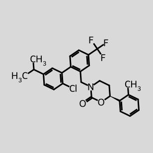 Cc1ccccc1[C@@H]1CCN(Cc2cc(C(F)(F)F)ccc2-c2cc(C(C)C)ccc2Cl)C(=O)O1